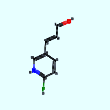 O=C/C=C/c1ccc(F)nc1